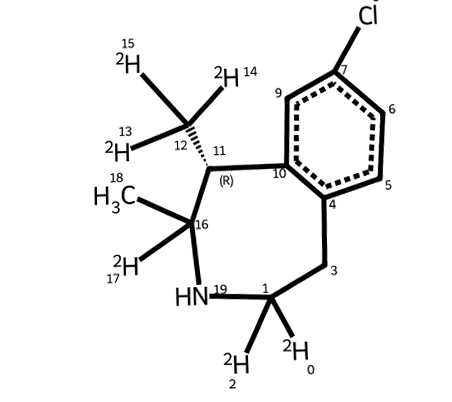 [2H]C1([2H])Cc2ccc(Cl)cc2[C@@H](C([2H])([2H])[2H])C([2H])(C)N1